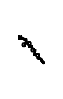 CCCCOCCOCCOC(=O)CC#N